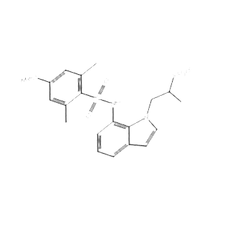 COc1cc(C)c(S(=O)(=O)Nc2cccc3ccn(CC(C)C(=O)O)c23)c(C)c1